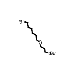 CC(C)(C)CCCOCCCCCCBr